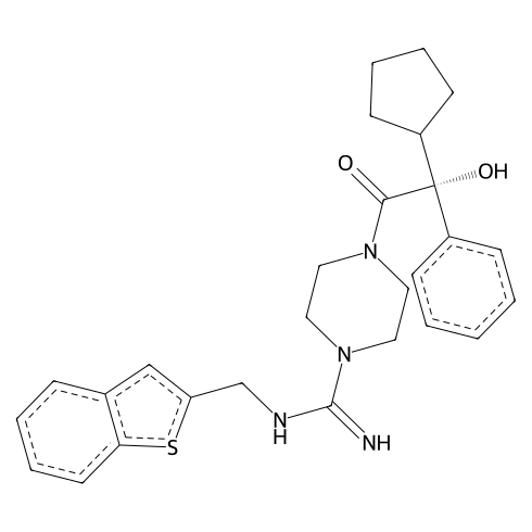 N=C(NCc1cc2ccccc2s1)N1CCN(C(=O)[C@](O)(c2ccccc2)C2CCCC2)CC1